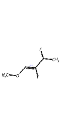 CO/C=C(\F)C(C)F